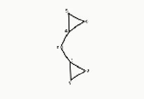 [C](C1CC1)C1CC1